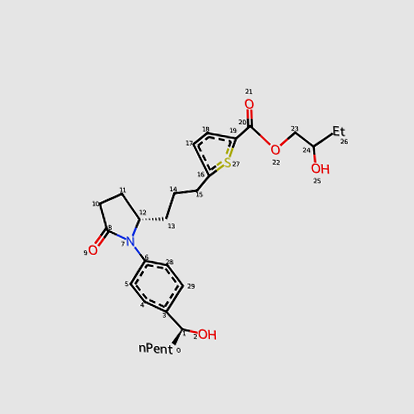 CCCCC[C@H](O)c1ccc(N2C(=O)CC[C@@H]2CCCc2ccc(C(=O)OCC(O)CC)s2)cc1